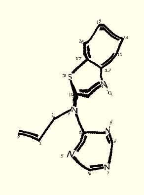 C=CCN(c1ncncn1)c1nc2ccccc2s1